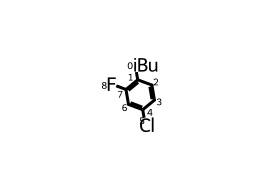 CCC(C)c1ccc(Cl)cc1F